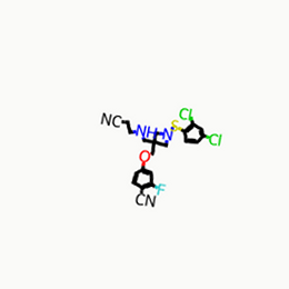 N#CCCNCC1(COc2ccc(C#N)c(F)c2)CN(Sc2ccc(Cl)cc2Cl)C1